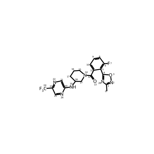 Cc1noc(-c2c(F)cccc2C(=O)N2CCCC(Nc3cnc(C(F)(F)F)cn3)C2)n1